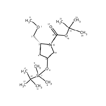 COC[C@H]1CC(O[Si](C)(C)C(C)(C)C)CN1C(=O)OC(C)(C)C